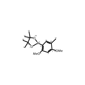 COc1cc(OC)c(B2OC(C)(C)C(C)(C)O2)cc1C